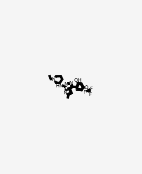 CCN1CCC[C@@H](Nc2nnc(-c3ccc(OC(F)(F)F)cc3O)c3cc(C)nn23)C1